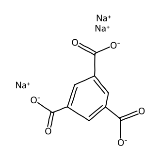 O=C([O-])c1cc(C(=O)[O-])cc(C(=O)[O-])c1.[Na+].[Na+].[Na+]